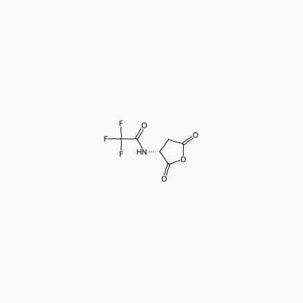 O=C1C[C@@H](NC(=O)C(F)(F)F)C(=O)O1